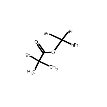 CCCC(OC(=O)C(C)(C)CC)(C(C)C)C(C)C